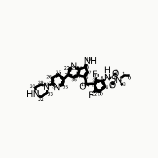 CCN(C)S(=O)(=O)Nc1ccc(F)c(C(=O)C2=CC(=N)c3ncc(-c4ccc(N5CCNCC5)nc4)cc32)c1F